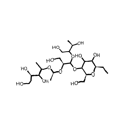 CC[C@H]1O[C@@H](CO)C(OC(OC(CO)[C@@H](C)O)[C@H](CO)O[C@@H](C)OC(C)C(O)[C@H](O)CO)C(O)C1O